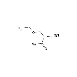 CCOCC(C#N)[C](=O)[Na]